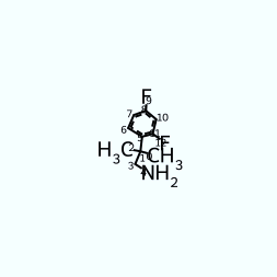 CC(C)(CN)c1ccc(F)cc1F